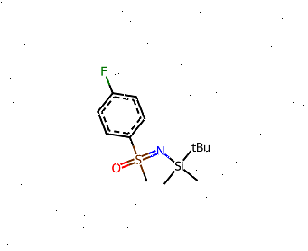 CC(C)(C)[Si](C)(C)N=S(C)(=O)c1ccc(F)cc1